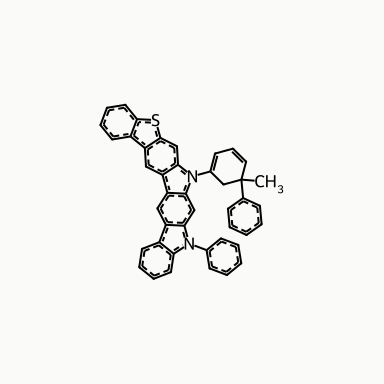 CC1(c2ccccc2)C=CC=C(n2c3cc4sc5ccccc5c4cc3c3cc4c5ccccc5n(-c5ccccc5)c4cc32)C1